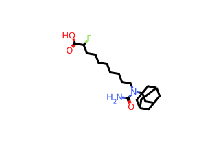 NC(=O)N(CCCCCCCCC(F)C(=O)O)C12CC3CC(CC(C3)C1)C2